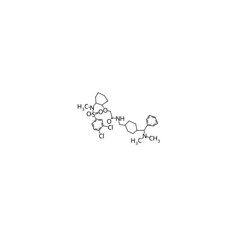 CN(C)C(c1ccccc1)C1CCC(CNC(=O)COC2CCCCC2N(C)S(=O)(=O)c2ccc(Cl)c(Cl)c2)CC1